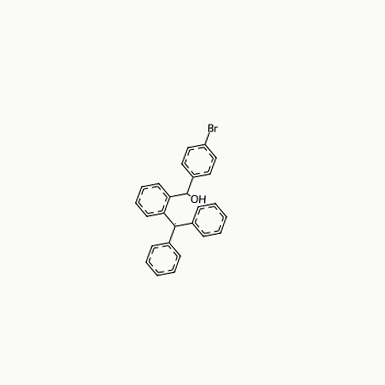 OC(c1ccc(Br)cc1)c1ccccc1[C](c1ccccc1)c1ccccc1